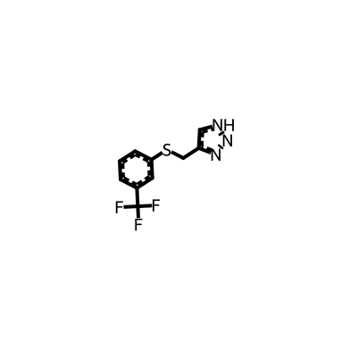 FC(F)(F)c1cccc(SCc2c[nH]nn2)c1